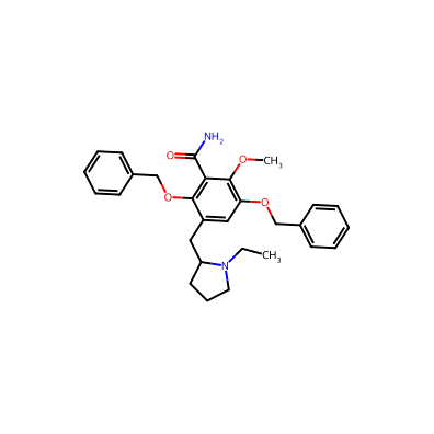 CCN1CCCC1Cc1cc(OCc2ccccc2)c(OC)c(C(N)=O)c1OCc1ccccc1